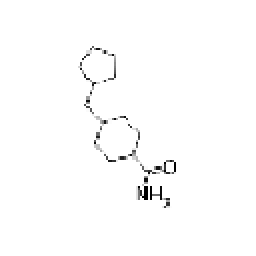 NC(=O)C1CCC(CC2CCCC2)CC1